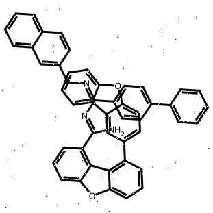 N/C(=N\C(=N/Cc1ccc2ccccc2c1)c1ccc(-c2ccccc2)cc1)c1cccc2oc3cccc(-c4ccc5oc6ccccc6c5c4)c3c12